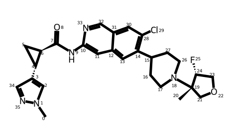 Cn1cc([C@@H]2C[C@H]2C(=O)Nc2cc3cc(C4CCN([C@@]5(C)COC[C@H]5F)CC4)c(Cl)cc3cn2)cn1